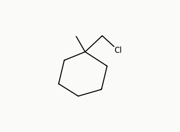 CC1(CCl)CCCCC1